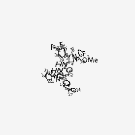 COCC(N1C[C@@H](NC(=O)Nc2c(C)c(OCC(C)O)nn2-c2ccccc2)[C@H](c2ccc(F)c(F)c2)C1)C(F)(F)F